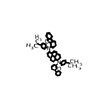 CC(C)c1ccc(N(C2=C3Oc4ccccc4C3CC=C2)c2ccc3ccc4c(N(c5ccc(C(C)C)cc5)c5cccc6c5oc5ccccc56)ccc5ccc2c3c54)cc1